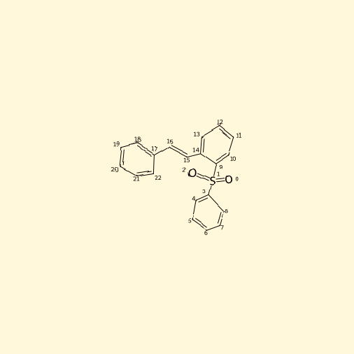 O=S(=O)(c1ccccc1)c1ccccc1C=Cc1ccccc1